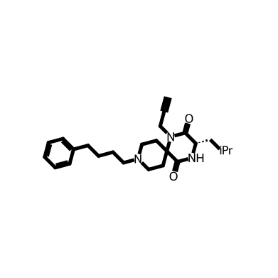 C#CCN1C(=O)[C@H](CC(C)C)NC(=O)C12CCN(CCCCc1ccccc1)CC2